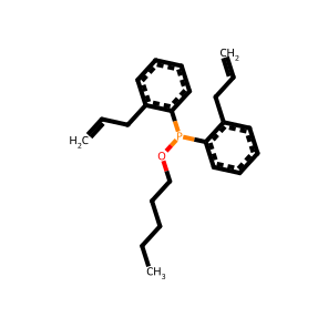 C=CCc1ccccc1P(OCCCCC)c1ccccc1CC=C